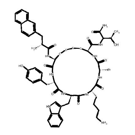 CC(C)[C@@H]1NC(=O)[C@H](CCCCN)NC(=O)[C@@H](Cc2c[nH]c3ccccc23)NC(=O)[C@H](Cc2ccc(O)cc2)NC(=O)[C@@H](NC(=O)[C@H](N)Cc2ccc3ccccc3c2)CSSC[C@@H](C(=O)NC(C(N)=O)[C@@H](C)O)NC1=O